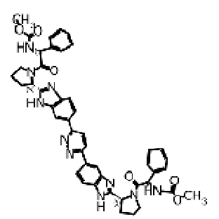 COC(=O)N[C@@H](C(=O)N1CCC[C@H]1c1nc2cc(-c3ccc(-c4ccc5nc([C@@H]6CCCN6C(=O)[C@H](NC(=O)OC)c6ccccc6)[nH]c5c4)nn3)ccc2[nH]1)c1ccccc1